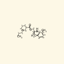 CCCN1CCCC(C(=O)OCC(=O)Nc2c(C)cccc2C)C1